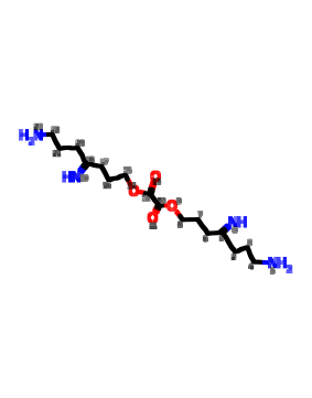 N=C(CCCN)CCCOC(=O)C(=O)OCCCC(=N)CCCN